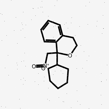 O=[N+]([O-])CC1(C2CCCCC2)OCCc2ccccc21